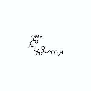 COC(=O)CN(C)CCC(C)(C)OC(=O)CCC(=O)O